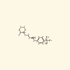 CC1CCCCN1CCCNCc1ccc(C(F)(F)F)cc1